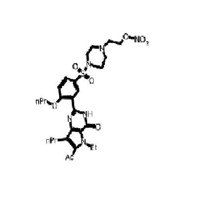 CCCOc1ccc(S(=O)(=O)N2CCN(CCO[N+](=O)[O-])CC2)cc1-c1nc2c(CCC)c(C(C)=O)n(CC)c2c(=O)[nH]1